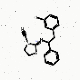 N#CN1CCS/C1=N\C(Cc1cccc(Cl)c1)c1ccccc1